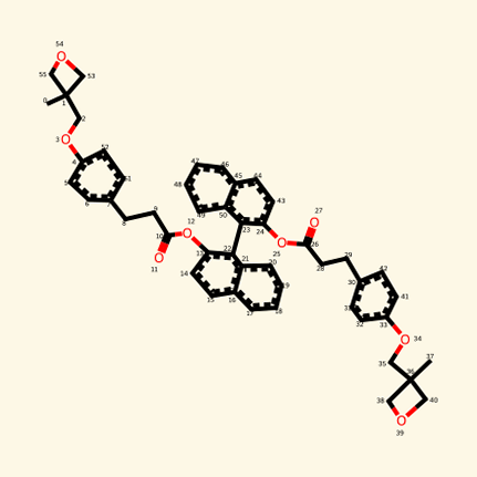 CC1(COc2ccc(CCC(=O)Oc3ccc4ccccc4c3-c3c(OC(=O)CCc4ccc(OCC5(C)COC5)cc4)ccc4ccccc34)cc2)COC1